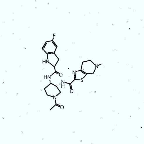 CC(=O)N1CC[C@H](NC(=O)C2Cc3cc(F)ccc3N2)[C@H](NC(=O)c2nc3c(s2)CN(C)CC3)C1